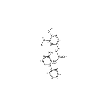 COc1ccc(CC(Nc2cccc(-c3ccccc3)c2)C(=O)O)cc1OC